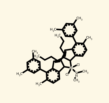 CCCCC1=Cc2c(ccc(C)c2-c2cc(C)cc(C)c2)[CH]1[Zr]([Cl])([Cl])([CH]1C(CCCC)=Cc2c1ccc(C)c2-c1cc(C)cc(C)c1)[SiH](C)C